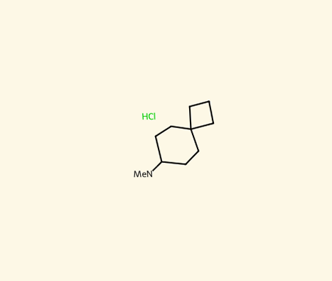 CNC1CCC2(CCC2)CC1.Cl